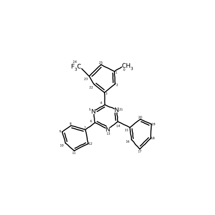 Cc1cc(-c2nc(-c3ccccc3)nc(-c3ccccc3)n2)cc(C(F)(F)F)c1